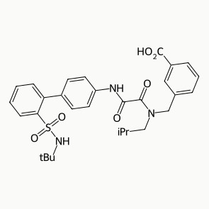 CC(C)CN(Cc1cccc(C(=O)O)c1)C(=O)C(=O)Nc1ccc(-c2ccccc2S(=O)(=O)NC(C)(C)C)cc1